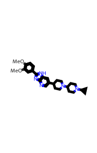 COc1ccc(-c2nc3ncc(C4CCN(C5CCN(C6CC6)CC5)CC4)cc3[nH]2)cc1OC